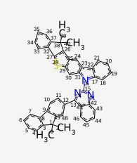 CC1(C)c2ccccc2-c2ccc(-c3nc(-n4c5ccccc5c5cc6c7c(sc6cc54)-c4ccccc4C7(C)C)nc4ccccc34)cc21